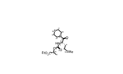 CCOC(=O)[C@H](C)OC(=O)N[C@@H](CCSC)C(=O)N1CCSCC1